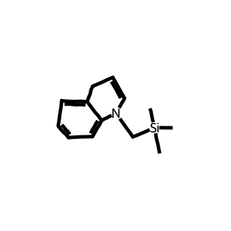 C[Si](C)(C)CN1C=CCc2ccccc21